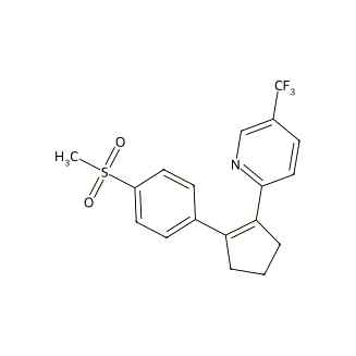 CS(=O)(=O)c1ccc(C2=C(c3ccc(C(F)(F)F)cn3)CCC2)cc1